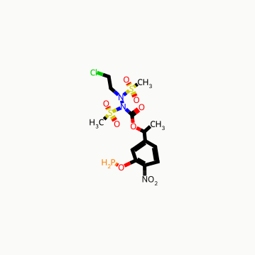 CC(OC(=O)N(N(CCCl)S(C)(=O)=O)S(C)(=O)=O)c1ccc([N+](=O)[O-])c(OP)c1